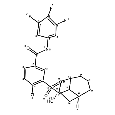 O=C(Nc1cc(F)c(F)c(F)c1)c1ccc(Cl)c(S(=O)(=O)CC2C3CCC[C@H]2C[C@H](O)C3)c1